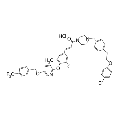 Cc1cc(C=CC(=O)N2CCN(Cc3ccc(CCOc4ccc(Cl)cc4)cc3)CC2)cc(Cl)c1Oc1ccc(OCc2ccc(C(F)(F)F)cc2)cn1.Cl